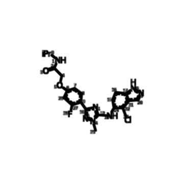 CC(C)NC(=O)COc1ccc(-c2nc(Nc3ccc4[nH]ncc4c3Cl)n(C)n2)c(F)c1